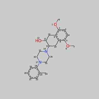 COc1ccc(OC)c2c1CC(O)C(N1CCN(c3ccccc3C)CC1)C2